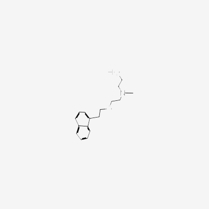 CN(CCO)CCOCCc1cccc2ccccc12